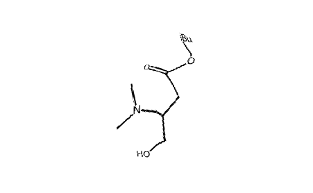 CCC(C)OC(=O)CC(CO)N(C)C